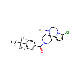 CN1CCn2c(Cl)ccc2C12CCN(C(=O)c1ccc(C(C)(C)C)cc1)CC2